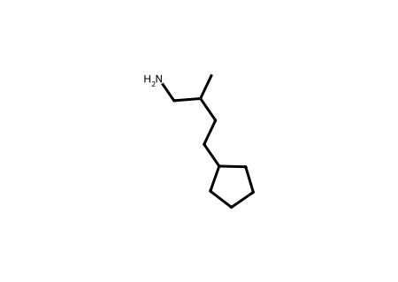 CC(CN)CCC1CCCC1